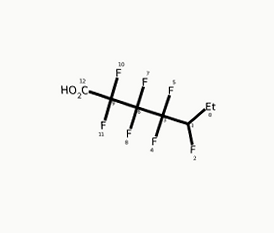 CCC(F)C(F)(F)C(F)(F)C(F)(F)C(=O)O